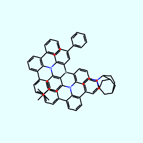 CC(C)(C)c1cc2c3c(c1)N(c1c(-c4ccccc4)cccc1-c1ccccc1)c1cc(N4C5CC6CCC4C(C6)C5)ccc1B3c1cc(-c3ccccc3)ccc1N2c1c(-c2ccccc2)cccc1-c1ccccc1